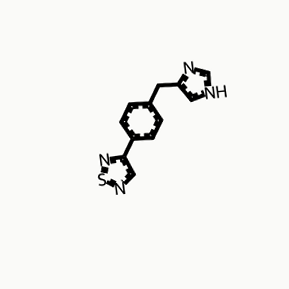 c1nc(Cc2ccc(-c3cnsn3)cc2)c[nH]1